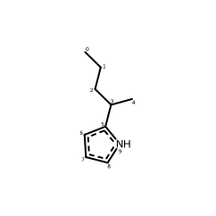 CCCC(C)c1ccc[nH]1